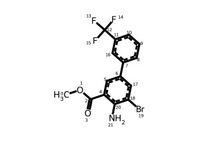 COC(=O)c1cc(-c2cccc(C(F)(F)F)c2)cc(Br)c1N